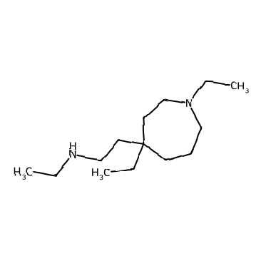 CCNCCC1(CC)CCCN(CC)CC1